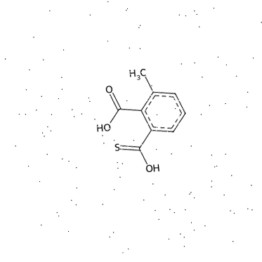 Cc1cccc(C(O)=S)c1C(=O)O